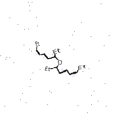 CC/C=C\C=C\C(CC)OC(/C=C/C=C\CC)CC